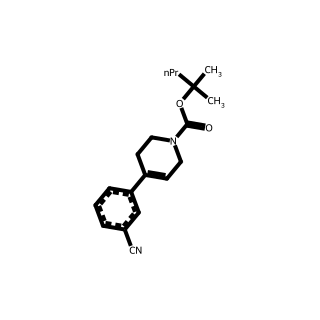 CCCC(C)(C)OC(=O)N1CC=C(c2cccc(C#N)c2)CC1